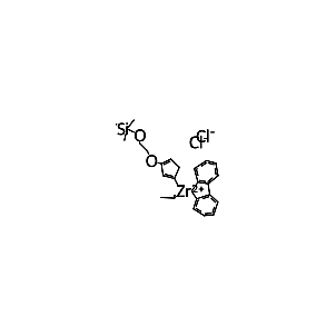 C[CH]=[Zr+2]([C]1=CC(OCCO[Si](C)(C)C)=CC1)[CH]1c2ccccc2-c2ccccc21.[Cl-].[Cl-]